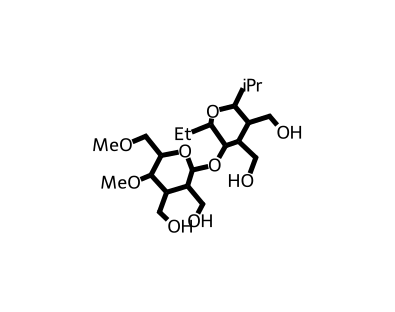 CCC1OC(C(C)C)C(CO)C(CO)C1OC1OC(COC)C(OC)C(CO)C1CO